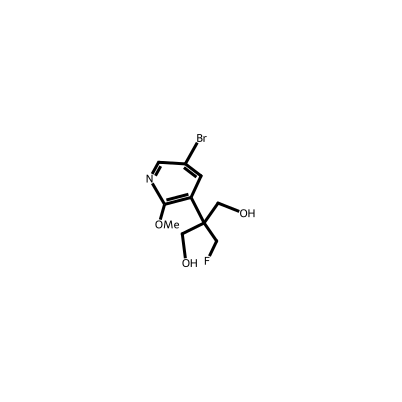 COc1ncc(Br)cc1C(CO)(CO)CF